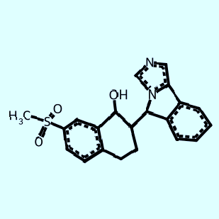 CS(=O)(=O)c1ccc2c(c1)C(O)C(C1c3ccccc3-c3cncn31)CC2